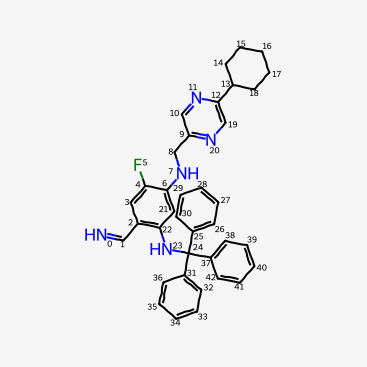 N=Cc1cc(F)c(NCc2cnc(C3CCCCC3)cn2)cc1NC(c1ccccc1)(c1ccccc1)c1ccccc1